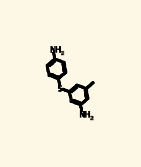 Cc1cc(N)cc(Sc2ccc(N)cc2)c1